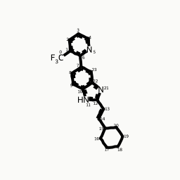 FC(F)(F)c1cccnc1-c1ccc2[nH]c(C=CC3CCCCC3)nc2c1